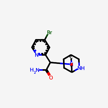 NC(=O)C(c1cc(Br)ccn1)N1CC2CCC(C1)NC2